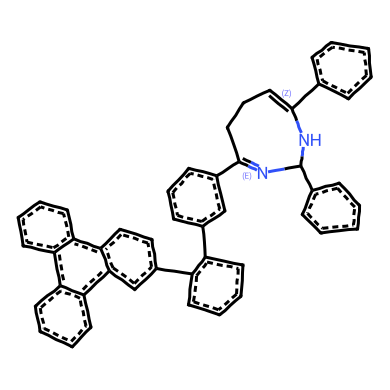 C1=C(/c2ccccc2)NC(c2ccccc2)/N=C(/c2cccc(-c3ccccc3-c3ccc4c5ccccc5c5ccccc5c4c3)c2)CC/1